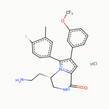 Cc1cc(-c2c(-c3cccc(OC(F)(F)F)c3)cc3n2[C@@H](CCN)CNC3=O)ccc1F.Cl